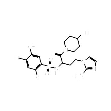 Cc1cc(S(=O)(=O)NC(CCn2ccnc2[N+](=O)[O-])C(=O)N2CCC(C)CC2)c(Cl)cc1Cl